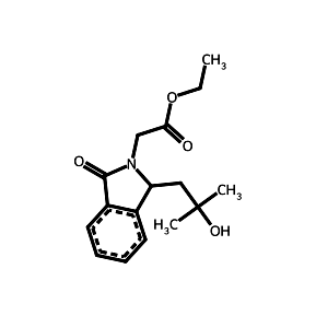 CCOC(=O)CN1C(=O)c2ccccc2C1CC(C)(C)O